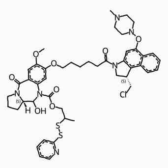 COc1cc2c(cc1OCCCCCC(=O)N1C[C@@H](CCl)c3c1cc(ON1CCN(C)CC1)c1ccccc31)N(C(=O)OCC(C)SSc1ccccn1)C(O)[C@@H]1CCCN1C2=O